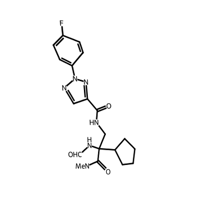 CNC(=O)C(CNC(=O)c1cnn(-c2ccc(F)cc2)n1)(NC=O)C1CCCC1